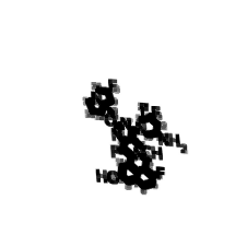 C#Cc1c(F)ccc2cc(O)cc(-c3ncc4c(N5CC(N)CC(F)(F)C5)nc(OC[C@@]56CCCN5C[C@H](F)C6)nc4c3F)c12